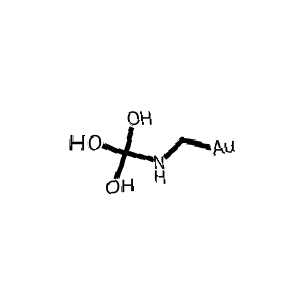 OC(O)(O)N[CH2][Au]